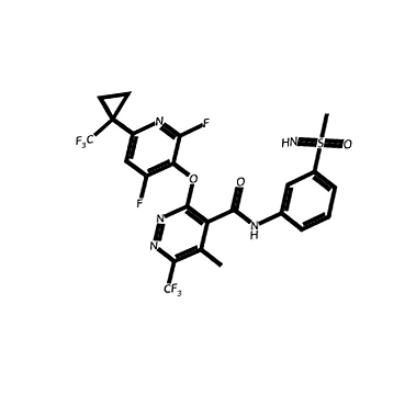 Cc1c(C(F)(F)F)nnc(Oc2c(F)cc(C3(C(F)(F)F)CC3)nc2F)c1C(=O)Nc1cccc(S(C)(=N)=O)c1